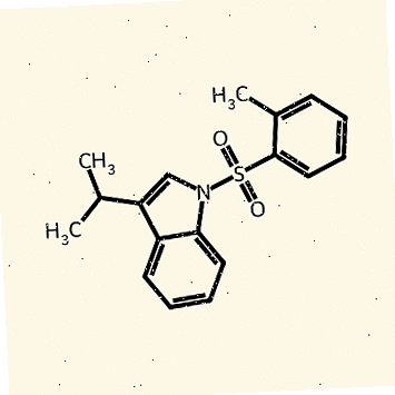 Cc1ccccc1S(=O)(=O)n1cc(C(C)C)c2ccccc21